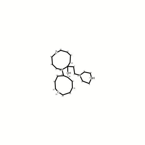 OC1(CCN2CCNCC2)CCCCCCCCN1C1CCCCCCCCC1